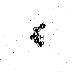 COC(=O)c1ccc2c(c1)NC1(CCN(C(=O)OCc3ccccc3)CC1)c1cccn1-2